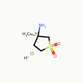 C[C@@]1(N)CCS(=O)(=O)C1.[Cl-].[H+]